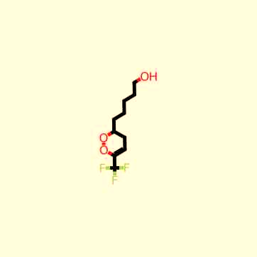 OCCCCCC1CC=C(C(F)(F)F)OO1